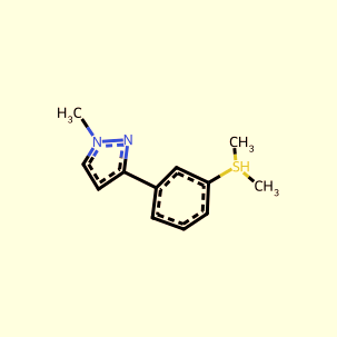 Cn1ccc(-c2cccc([SH](C)C)c2)n1